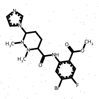 COC(=O)c1cc(F)c(Br)cc1NC(=O)C1CCC(n2ccnc2)N(C)N1C